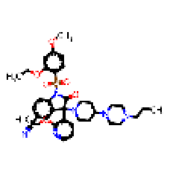 CCCN1CCN(C2CCN(C3(c4cccnc4OCC)C(=O)N(S(=O)(=O)c4ccc(OC)cc4OCC)c4ccc(C#N)cc43)CC2)CC1